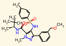 COCc1cccc(-c2nn(C)c(C(=O)N[C@@H](C)C(C)(C)C)c2NS(=O)(=O)c2ccc(C)cc2)c1